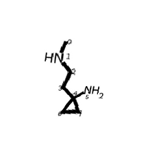 CNCCC1(N)CC1